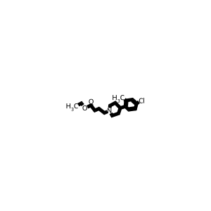 CCOC(=O)CCCN1CCC(c2ccc(Cl)cc2C)CC1